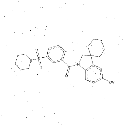 O=C(c1cccc(S(=O)(=O)N2CCCCC2)c1)N1CC2(CCCCC2)c2cc(O)ccc21